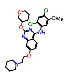 COc1cc(Nc2nc(OC3CCCOC3)nc3cc(OCCN4CCCCC4)ccc23)c(Cl)cc1Cl